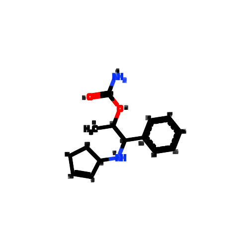 CC(OC(N)=O)C(NC1C=CCC1)c1ccccc1